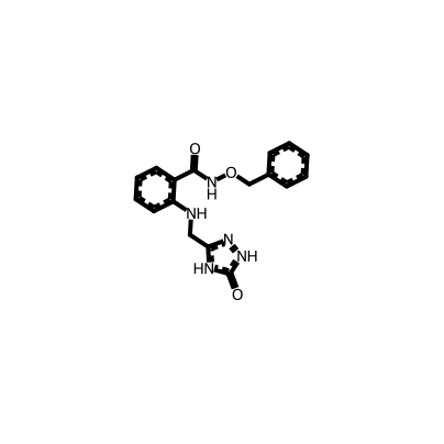 O=C(NOCc1ccccc1)c1ccccc1NCc1n[nH]c(=O)[nH]1